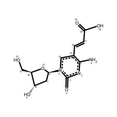 Nc1nc(=O)n([C@H]2C[C@H](O)[C@@H](CO)O2)cc1C=CC(=O)O